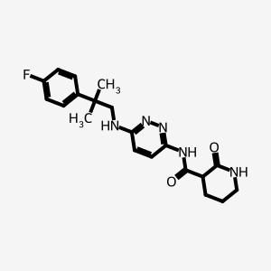 CC(C)(CNc1ccc(NC(=O)C2CCCNC2=O)nn1)c1ccc(F)cc1